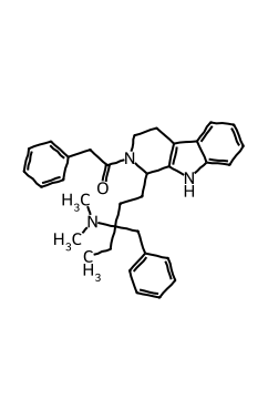 CCC(CCC1c2[nH]c3ccccc3c2CCN1C(=O)Cc1ccccc1)(Cc1ccccc1)N(C)C